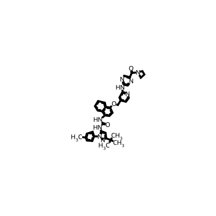 Cc1ccc(-n2nc(C(C)(C)C)cc2NC(=O)Nc2ccc(OCc3ccnc(Nc4cnc(C(=O)N5CCC5)cn4)c3)c3ccccc23)cc1